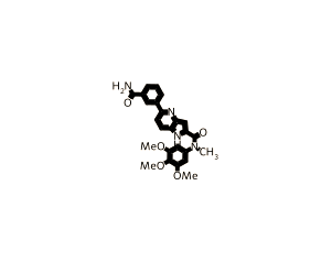 COc1cc(N(C)C(=O)c2cc3nc(-c4cccc(C(N)=O)c4)ccc3[nH]2)cc(OC)c1OC